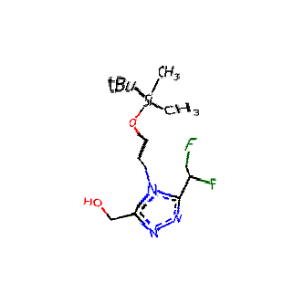 CC(C)(C)[Si](C)(C)OCCn1c(CO)nnc1C(F)F